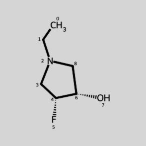 CCN1C[C@@H](F)[C@@H](O)C1